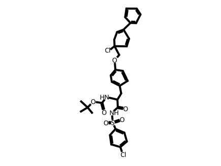 CC(C)(C)OC(=O)NC(Cc1ccc(OCC2(Cl)C=CC(c3ccccc3)=CC2)cc1)C(=O)NS(=O)(=O)c1ccc(Cl)cc1